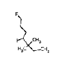 CCC(C)(C)C(I)CCCF